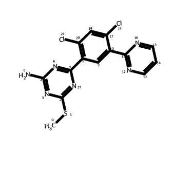 CSc1nc(N)nc(-c2cc(-c3ncccn3)c(Cl)cc2Cl)n1